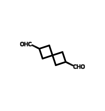 O=CC1CC2(C1)CC(C=O)C2